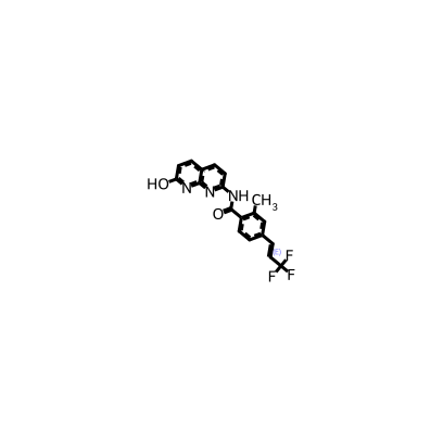 Cc1cc(/C=C/C(F)(F)F)ccc1C(=O)Nc1ccc2ccc(O)nc2n1